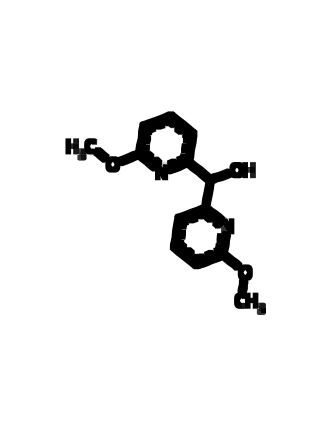 COc1cccc(C(O)c2cccc(OC)n2)n1